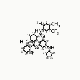 [2H]c1cc(C)c(C(F)(F)F)cc1NC(=O)[C@H]1CCCN(C(=O)c2c(C)cccc2F)[C@H]1c1ccc(NC2CCCC2)cc1